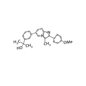 COc1ccc(-c2nc3ccc(-c4cccc(C(C)(C)O)c4)cn3c2C)cc1